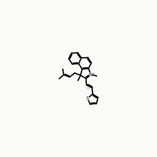 CC(C)=CCC1(C)C(/C=C/c2cccs2)=[N+](C)c2ccc3ccccc3c21